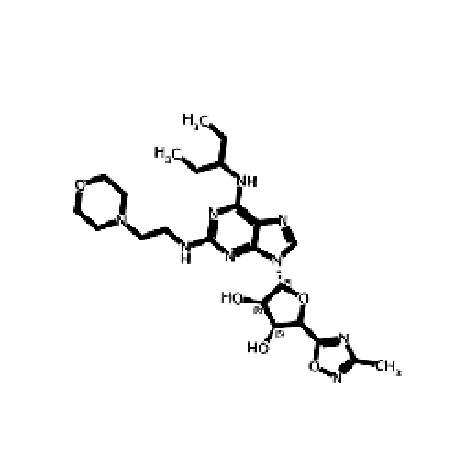 CCC(CC)Nc1nc(NCCN2CCOCC2)nc2c1ncn2[C@@H]1OC(c2nc(C)no2)[C@@H](O)[C@H]1O